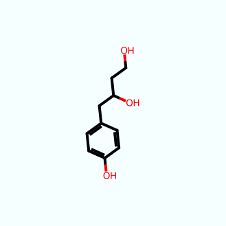 OCCC(O)Cc1ccc(O)cc1